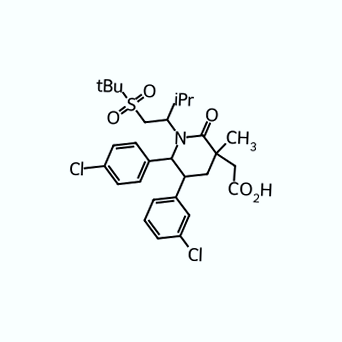 CC(C)C(CS(=O)(=O)C(C)(C)C)N1C(=O)C(C)(CC(=O)O)CC(c2cccc(Cl)c2)C1c1ccc(Cl)cc1